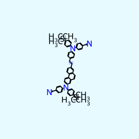 C[Si](C)(C)c1ccc(N(c2ccc(C#N)cc2)c2ccc(/C=C/c3ccc4c(ccc5cc(N(c6ccc(C#N)cc6)c6ccc([Si](C)(C)C)cc6)ccc54)c3)cc2)cc1